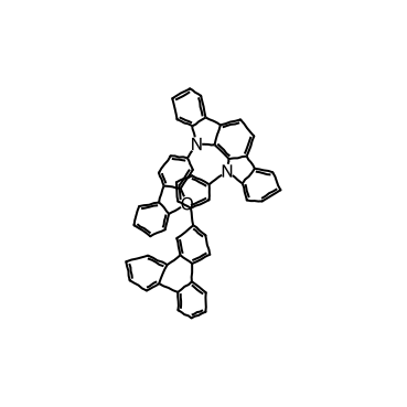 c1cc(-c2ccc3c4ccccc4c4ccccc4c3c2)cc(-n2c3ccccc3c3ccc4c5ccccc5n(-c5ccc6c(c5)oc5ccccc56)c4c32)c1